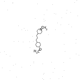 COC1CCC(CCCC2CCN(C)CC2)CC1